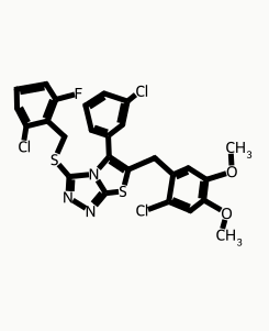 COc1cc(Cl)c(Cc2sc3nnc(SCc4c(F)cccc4Cl)n3c2-c2cccc(Cl)c2)cc1OC